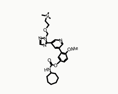 COc1ccc(OC(=O)NC2CCCCCC2)cc1-c1cncc(-c2ncnn2COCC[Si](C)(C)C)c1